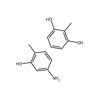 Cc1c(O)cccc1O.Cc1ccc(N)cc1O